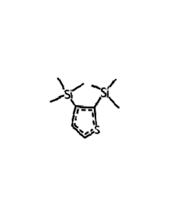 C[Si](C)(C)c1ccsc1[Si](C)(C)C